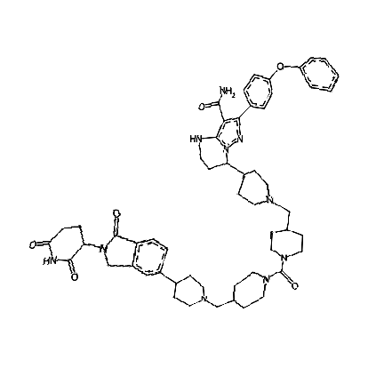 NC(=O)c1c(-c2ccc(Oc3ccccc3)cc2)nn2c1NCCC2C1CCN(CC2CCN(C(=O)N3CCC(CN4CCC(c5ccc6c(c5)CN(C5CCC(=O)NC5=O)C6=O)CC4)CC3)CC2)CC1